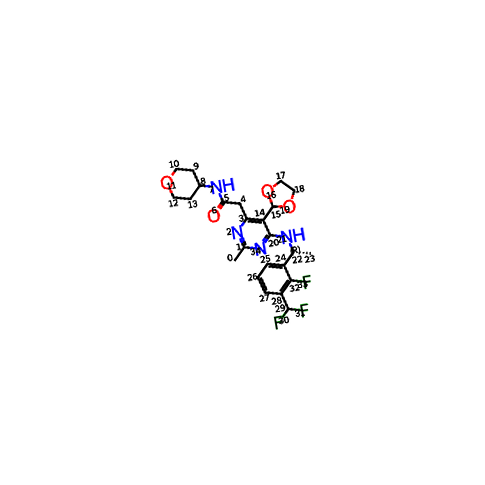 Cc1nc(CC(=O)NC2CCOCC2)c(C2OCCO2)c(N[C@H](C)c2cccc(C(F)F)c2F)n1